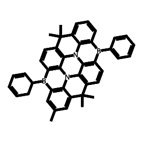 Cc1cc2c3c(c1)C(C)(C)c1ccc4c5c1N3c1c(ccc3c1N5c1c(cccc1C3(C)C)B4c1ccccc1)B2C1C=CC=CC1